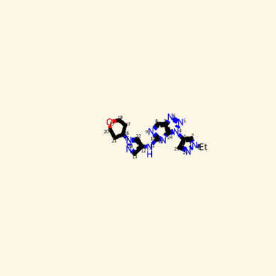 CCn1cc(-n2nnc3cnc(Nc4cnn(C5CCOCC5)c4)nc32)cn1